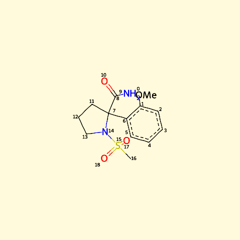 COc1ccccc1C1(C(N)=O)CCCN1S(C)(=O)=O